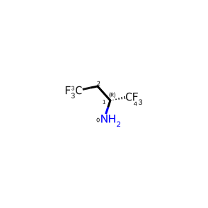 N[C@H](CC(F)(F)F)C(F)(F)F